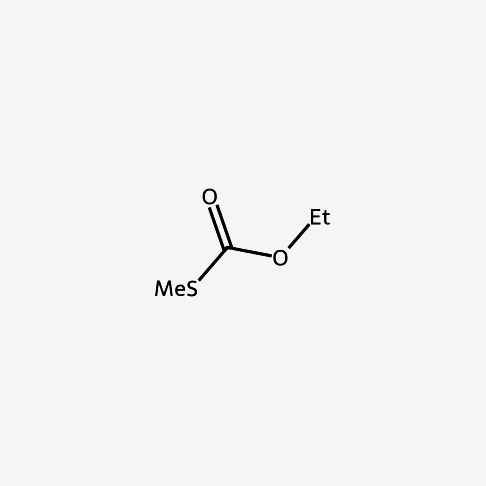 [CH2]COC(=O)SC